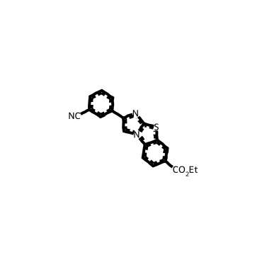 CCOC(=O)c1ccc2c(c1)sc1nc(-c3cccc(C#N)c3)cn12